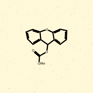 COC(=O)OC1c2ccccc2Oc2ccccc21